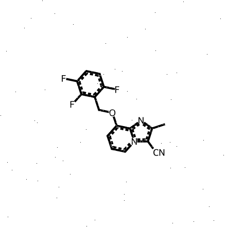 Cc1nc2c(OCc3c(F)ccc(F)c3F)cccn2c1C#N